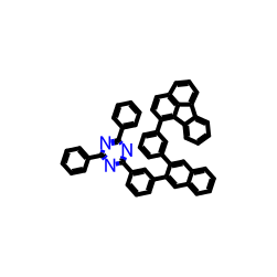 c1ccc(-c2nc(-c3ccccc3)nc(-c3cccc(-c4cc5ccccc5cc4-c4cccc(-c5ccc6cccc7c6c5-c5ccccc5-7)c4)c3)n2)cc1